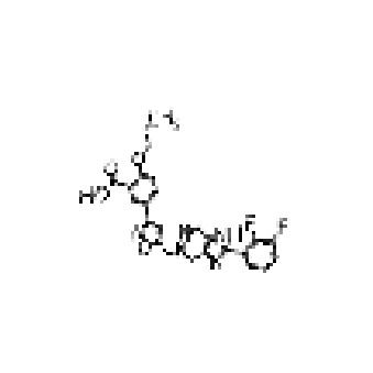 CCCOc1ccc(-c2cc(CN3Cc4nc(-c5cccc(F)c5F)[nH]c4C=N3)on2)cc1C(=O)O